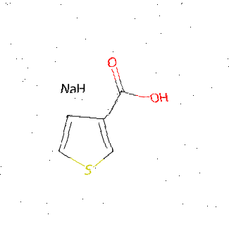 O=C(O)c1ccsc1.[NaH]